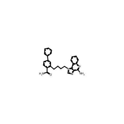 NC(=O)c1ccc(-c2ccccc2)cc1CCCCn1cnc2c(N)nc3ccccc3c21